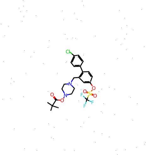 CC(C)(C)C(=O)ON1CCN(Cc2cc(OS(=O)(=O)C(F)(F)F)ccc2-c2ccc(Cl)cc2)CC1